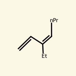 C=CC(=CCCC)CC